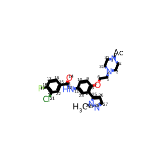 CC(=O)N1CCN(CCOc2ccc(NC(=O)c3ccc(F)c(Cl)c3)cc2-c2ccnn2C)CC1